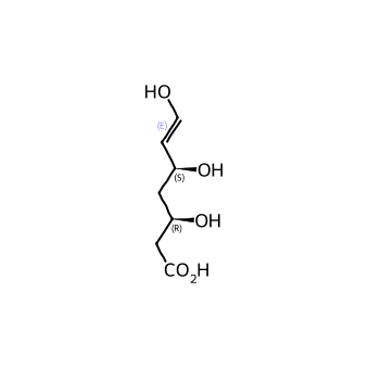 O=C(O)C[C@H](O)C[C@H](O)/C=C/O